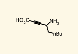 CCCCCC(N)C#CC(=O)O